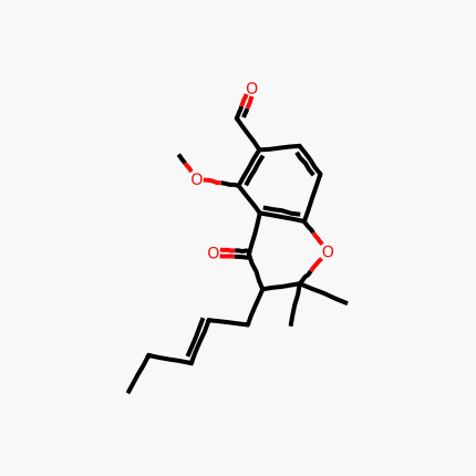 CCC=CCC1C(=O)c2c(ccc(C=O)c2OC)OC1(C)C